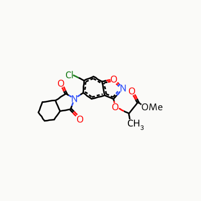 COC(=O)C(C)Oc1noc2cc(Cl)c(N3C(=O)C4CCCCC4C3=O)cc12